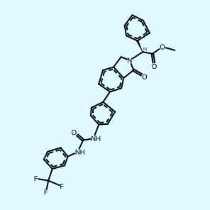 COC(=O)[C@H](c1ccccc1)N1Cc2ccc(-c3ccc(NC(=O)Nc4cccc(C(F)(F)F)c4)cc3)cc2C1=O